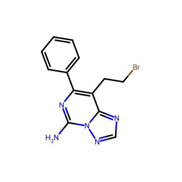 Nc1nc(-c2ccccc2)c(CCBr)c2ncnn12